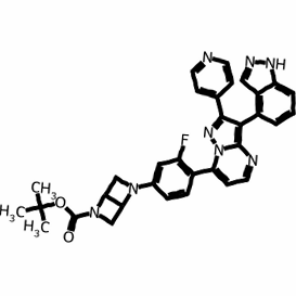 CC(C)(C)OC(=O)N1CC2C1CN2c1ccc(-c2ccnc3c(-c4cccc5[nH]ncc45)c(-c4ccncc4)nn23)c(F)c1